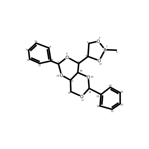 CB1OCC(C2OC(c3ccccc3)OC3COC(c4ccccc4)OC32)O1